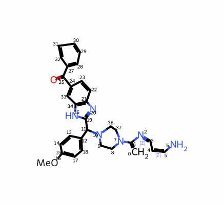 C=C(/N=C\C=C/N)N1CCN(C(c2ccc(OC)cc2)c2nc3ccc(C(=O)c4ccccc4)cc3[nH]2)CC1